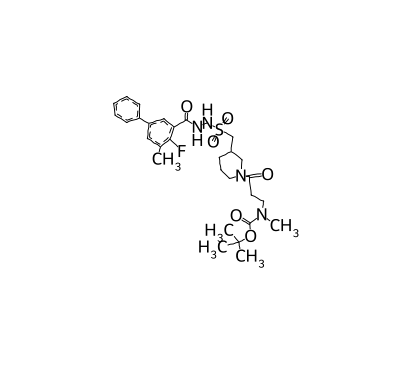 Cc1cc(-c2ccccc2)cc(C(=O)NNS(=O)(=O)CC2CCCN(C(=O)CCN(C)C(=O)OC(C)(C)C)C2)c1F